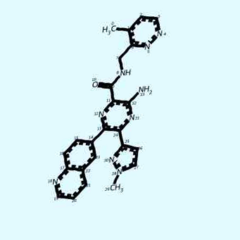 Cc1ccnnc1CNC(=O)c1nc(-c2ccc3ncccc3c2)c(-c2ccn(C)n2)nc1N